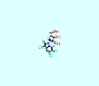 Cc1c(Cl)c2cc(Cl)c(Cl)cc2n1[C@@H]1O[C@H](CO)C(O)[C@@H]1O